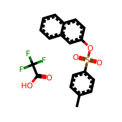 Cc1ccc(S(=O)(=O)Oc2ccc3ccccc3c2)cc1.O=C(O)C(F)(F)F